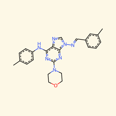 Cc1ccc(Nc2nc(N3CCOCC3)nc3c2ncn3N=Cc2cccc(C)c2)cc1